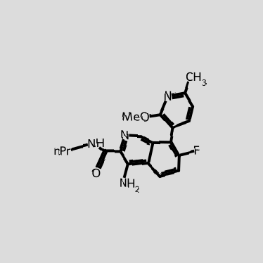 CCCNC(=O)c1ncc2c(-c3ccc(C)nc3OC)c(F)ccc2c1N